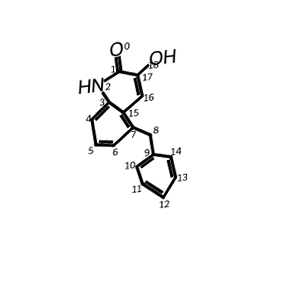 O=c1[nH]c2cccc(Cc3ccccc3)c2cc1O